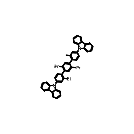 CCc1cc(-n2c3ccccc3c3ccccc32)ccc1-c1cc(C(C)C)c(-c2ccc(-n3c4ccccc4c4ccccc43)cc2C)cc1C(C)C